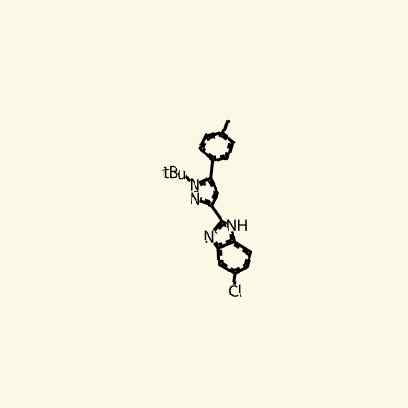 Cc1ccc(-c2cc(-c3nc4cc(Cl)ccc4[nH]3)nn2C(C)(C)C)cc1